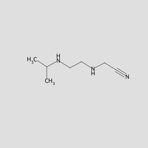 CC(C)NCCNCC#N